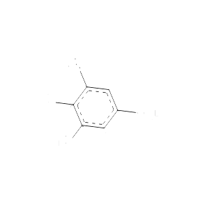 CCOC(=O)c1cc(O)c(O)c(N=O)c1